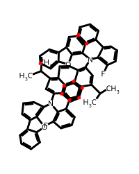 CC(C)c1cc(N(c2c(F)cccc2-c2ccccc2)c2cccc3c2oc2ccccc23)c2ccc3c(C(C)C)cc(N(c4c(F)cccc4-c4ccccc4)c4cccc5c4oc4ccccc45)c4ccc1c2c34